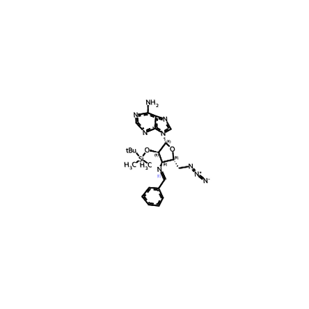 CC(C)(C)[Si](C)(C)O[C@@H]1[C@H](/N=C/c2ccccc2)[C@@H](CN=[N+]=[N-])O[C@H]1n1cnc2c(N)ncnc21